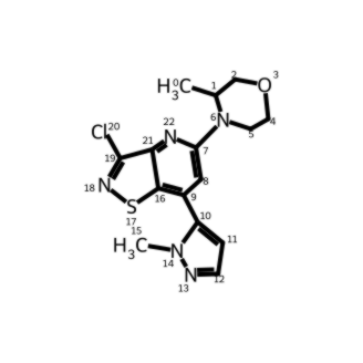 CC1COCCN1c1cc(-c2ccnn2C)c2snc(Cl)c2n1